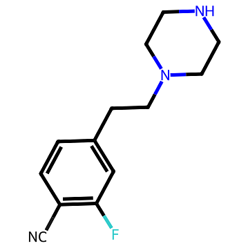 N#Cc1ccc(CCN2CCNCC2)cc1F